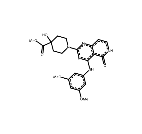 COC(=O)C1(O)CCN(c2nc(Nc3cc(OC)cc(OC)c3)c3c(=O)[nH]ccc3n2)CC1